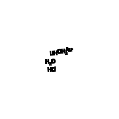 Cl.O.O.[Au].[LiH]